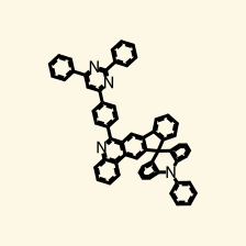 c1ccc(-c2cc(-c3ccc(-c4nc5ccccc5c5cc6c(cc45)-c4ccccc4C64c5ccccc5N(c5ccccc5)c5ccccc54)cc3)nc(-c3ccccc3)n2)cc1